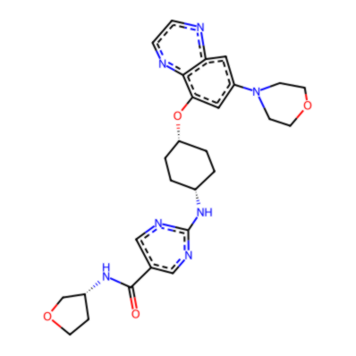 O=C(N[C@@H]1CCOC1)c1cnc(N[C@H]2CC[C@@H](Oc3cc(N4CCOCC4)cc4nccnc34)CC2)nc1